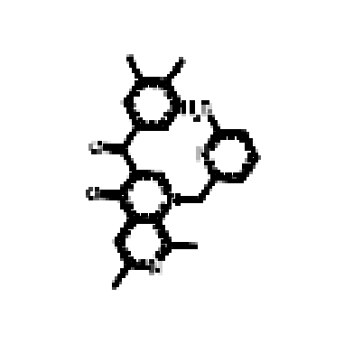 Bc1cccc(Cn2cc(C(=O)c3ccc(C)c(C)c3)c(=O)c3cc(C)nc(C)c32)n1